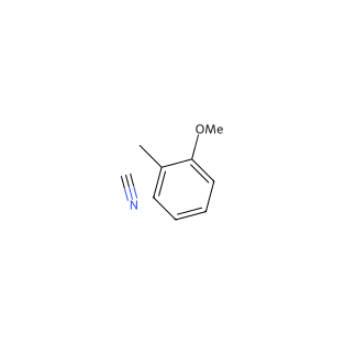 C#N.COc1ccccc1C